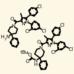 Cc1c(C(=O)N2CCC(N)(c3ccccc3)CC2)nn(-c2ccc(Cl)cc2Cl)c1-c1ccc(Cl)cc1.Cc1c(C(=O)N2CCC(NC(=O)OC(C)(C)C)(c3ccccc3)CC2)nn(-c2ccc(Cl)cc2Cl)c1-c1ccc(Cl)cc1